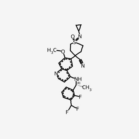 COc1cc2nccc(N[C@H](C)c3cccc(C(F)F)c3F)c2cc1C1(C#N)CCS(=O)(=NC2CC2)CC1